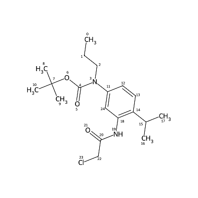 CCCN(C(=O)OC(C)(C)C)c1ccc(C(C)C)c(NC(=O)CCl)c1